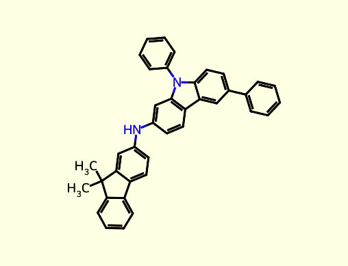 CC1(C)c2ccccc2-c2ccc(Nc3ccc4c5cc(-c6ccccc6)ccc5n(-c5ccccc5)c4c3)cc21